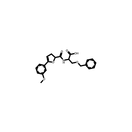 COc1cccc(C2=CCC(C(=O)NC(COCc3ccccc3)C(=O)O)O2)c1